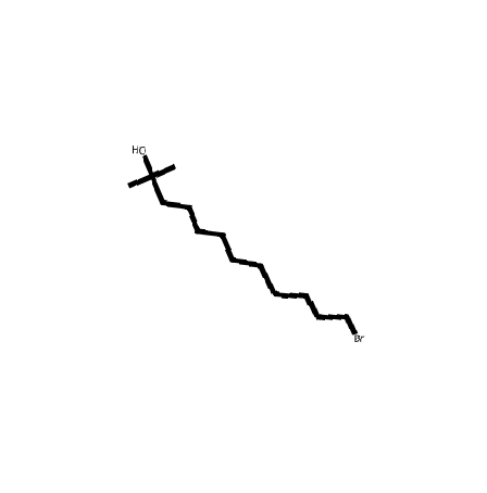 CC(C)(O)CCCCCCCCCCBr